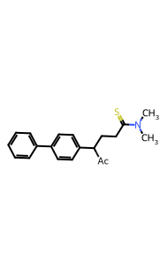 CC(=O)C(CCC(=S)N(C)C)c1ccc(-c2ccccc2)cc1